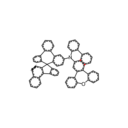 c1ccc(-c2ccccc2N(c2ccc3c(c2)-c2ccccc2Oc2ccccc2-3)c2ccc3c(c2)-c2ccccc2-c2ccccc2C32c3ccccc3-c3c2c2ccccc2c2ccccc32)cc1